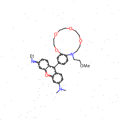 CCN=c1ccc2c(-c3ccc4c(c3)OCCOCCOCCOCCN4CCOC)c3ccc(N(C)C)cc3oc-2c1